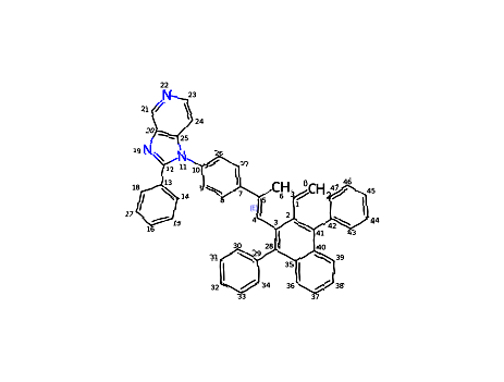 C=Cc1c(/C=C(\C)c2ccc(-n3c(-c4ccccc4)nc4cnccc43)cc2)c(-c2ccccc2)c2ccccc2c1-c1ccccc1